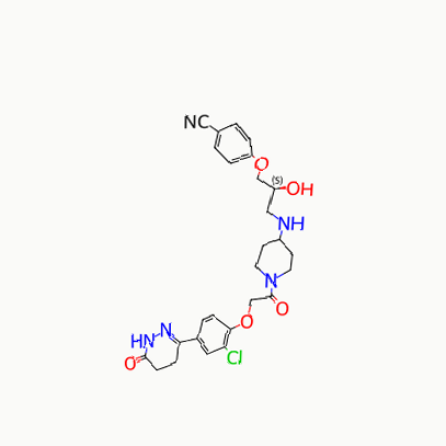 N#Cc1ccc(OC[C@@H](O)CNC2CCN(C(=O)COc3ccc(C4=NNC(=O)CC4)cc3Cl)CC2)cc1